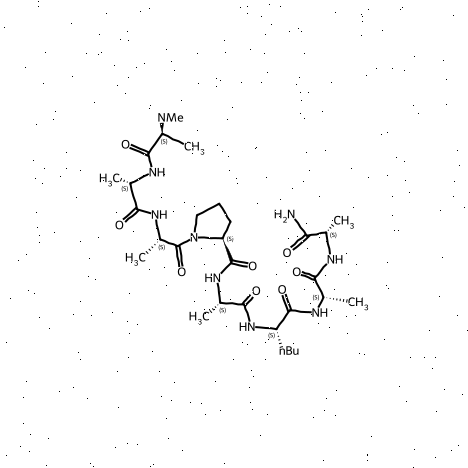 CCCC[C@H](NC(=O)[C@H](C)NC(=O)[C@@H]1CCCN1C(=O)[C@H](C)NC(=O)[C@H](C)NC(=O)[C@H](C)NC)C(=O)N[C@@H](C)C(=O)N[C@@H](C)C(N)=O